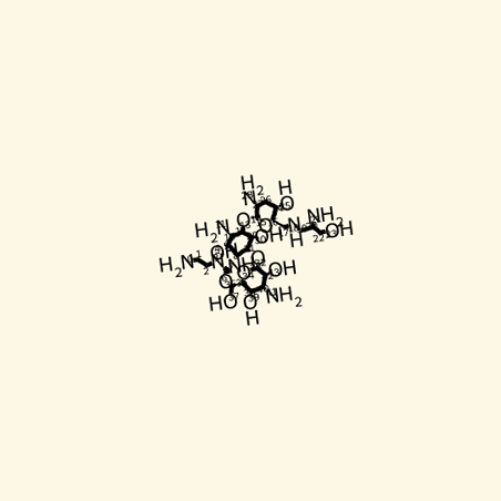 NCCN(O)C(=O)N[C@@H]1C[C@H](N)C(O[C@H]2O[C@H](CNCC(N)CO)[C@@H](O)C[C@H]2N)[C@H](O)[C@H]1O[C@H]1O[C@H](CO)[C@@H](O)[C@H](N)[C@H]1O